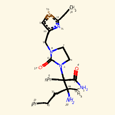 CCCC(C(N)=O)(N1CCN(Cc2csc(C)n2)C1=O)C(C)(N)CCC(C)C